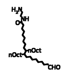 CCCCCCCCC(CCCCCCCCC=O)C(CCCCCCCC)CCCCCCCCC(=O)NCCN